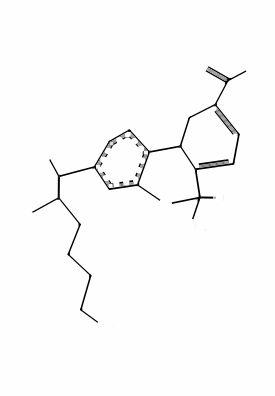 CCCCCC(C)C(C)c1ccc2c(c1)OC(C)(C)C1=CC=C(C(=O)O)CC12